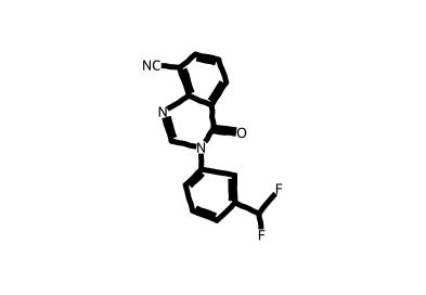 N#Cc1cccc2c(=O)n(-c3cccc(C(F)F)c3)cnc12